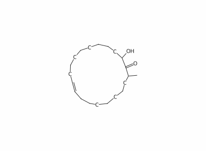 CC1CCCCCCCC=CCCCCCCCCC(O)C1=O